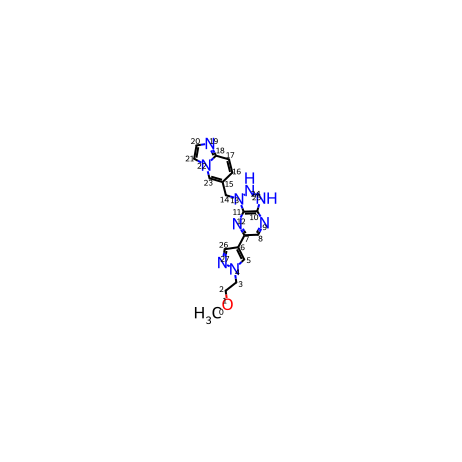 COCCn1cc(-c2cnc3c(n2)N(Cc2ccc4nccn4c2)NN3)cn1